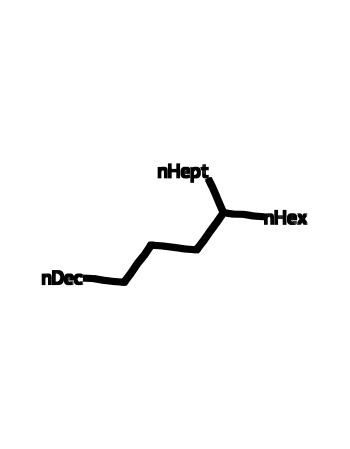 [CH2]CCCCCC(CCCCCCC)CCCCCCCCCCCCC